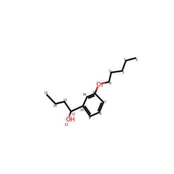 CCCCCOc1cccc(C(O)CCC)c1